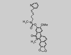 COc1cc2c(cc1OC(=O)N(C)CCSSc1ccccn1)c(=O)n(C)c1c3cc4c(cc3ccc21)OCO4